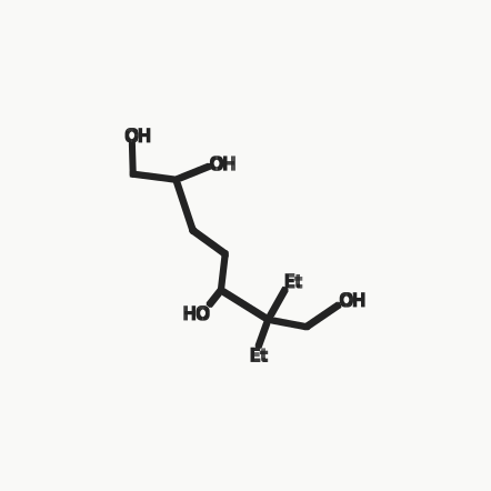 CCC(CC)(CO)C(O)CCC(O)CO